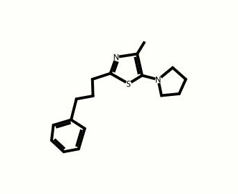 Cc1nc(CCCc2ccccc2)sc1N1CCCC1